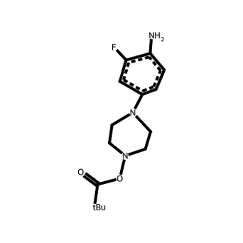 CC(C)(C)C(=O)ON1CCN(c2ccc(N)c(F)c2)CC1